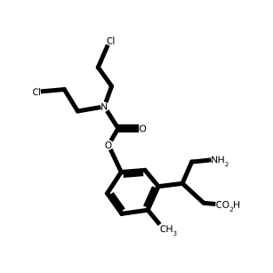 Cc1ccc(OC(=O)N(CCCl)CCCl)cc1C(CN)CC(=O)O